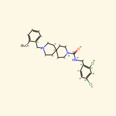 CC(C)COc1ccccc1CN1CCC2(CC1)CCN(C(=O)NCc1ccc(Cl)cc1Cl)CC2